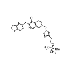 CC(C)(C)[Si](C)(C)OCCn1cc(Sc2ccc3c(=O)n(Cc4ccc5c(n4)CCO5)ncc3c2)cn1